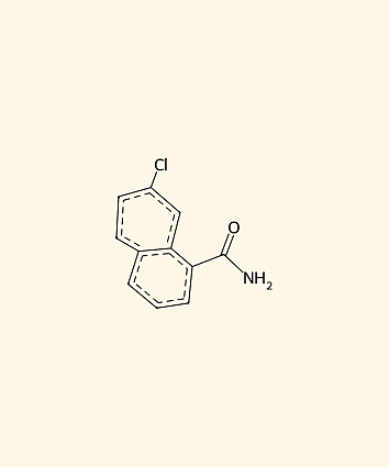 NC(=O)c1cccc2ccc(Cl)cc12